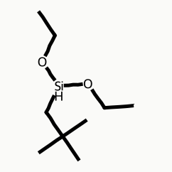 CCO[SiH](CC(C)(C)C)OCC